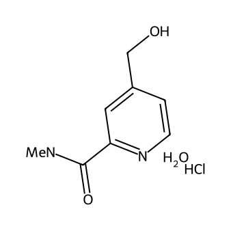 CNC(=O)c1cc(CO)ccn1.Cl.O